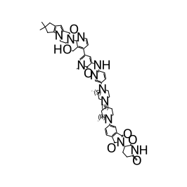 C[C@@H]1C[C@@H](N2CCN(c3ccc(Nc4cc(-c5ccnc(N6CCn7c(cc8c7CC(C)(C)C8)C6=O)c5CO)cn(C)c4=O)nc3)[C@@H](C)C2)CCN1c1ccc2c(c1)C(=O)N(C1CCC(=O)NC1=O)C2=O